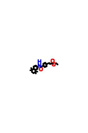 CCOC(=O)/C=C/c1ccc(C(=O)Nc2ccc3c(c2)C(C)(C)CCC3(C)C)cc1